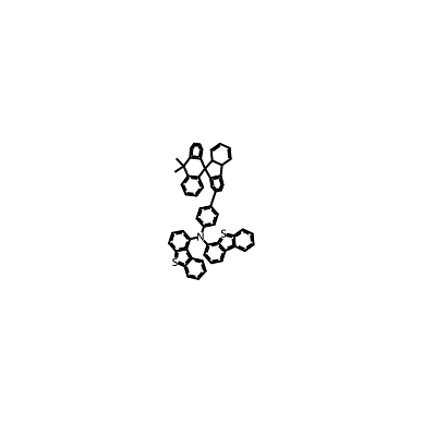 CC1(C)c2ccccc2C2(c3cc(-c4ccc(N(c5cccc6c5sc5ccccc56)c5cccc6sc7ccccc7c56)cc4)ccc3C3C=CC=CC32)c2ccccc21